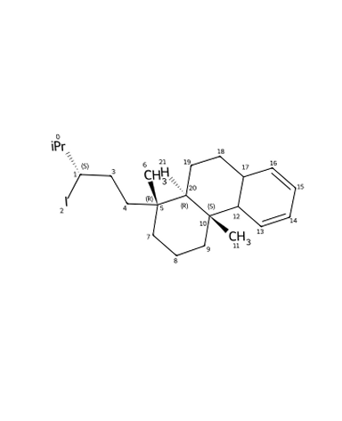 CC(C)[C@@H](I)CC[C@@]1(C)CCC[C@@]2(C)C3C=CC=CC3CC[C@H]12